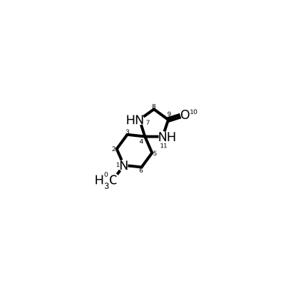 CN1CCC2(CC1)NCC(=O)N2